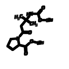 CC(C)(CC(=O)N1CCCC1C(=O)OC(C)(C)C)NC(=O)OC(C)(C)C